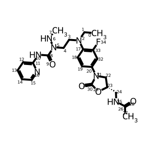 CCN(CCN(NC)C(=O)Nc1ccccn1)c1ccc(N2C[C@H](CNC(C)=O)OC2=O)cc1F